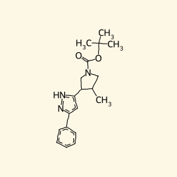 CC1CN(C(=O)OC(C)(C)C)CC1c1cc(-c2ccccc2)n[nH]1